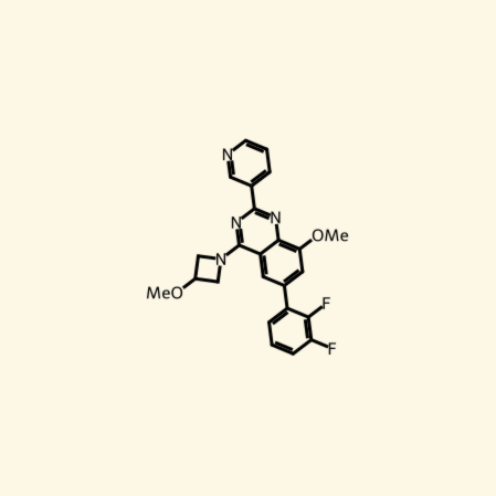 COc1cc(-c2cccc(F)c2F)cc2c(N3CC(OC)C3)nc(-c3cccnc3)nc12